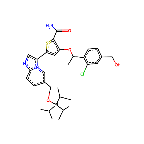 CC(Oc1cc(-c2cnc3ccc(CO[Si](C(C)C)(C(C)C)C(C)C)cn23)sc1C(N)=O)c1ccc(CO)cc1Cl